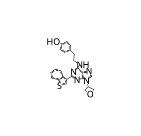 Oc1ccc(CCNc2nc(-c3csc4ccccc34)nc3c2ncn3C2COC2)cc1